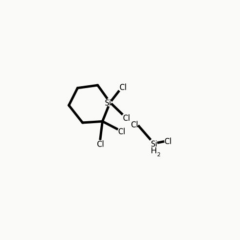 ClC1(Cl)CCCC[Si]1(Cl)Cl.Cl[SiH2]Cl